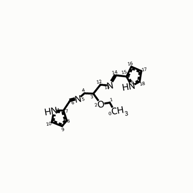 CCOC(CN=Cc1ccc[nH]1)CN=Cc1ccc[nH]1